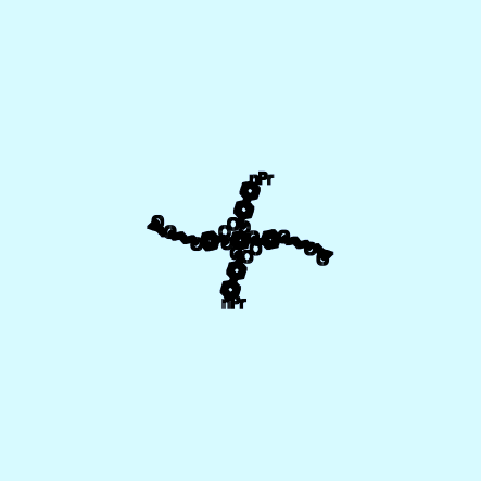 CCCC1CCC(C2CCC(C(=O)Oc3cc(OC(=O)c4ccc(OCCCCOCC5CO5)cc4)c(OC(=O)C4CCC(C5CCC(CCC)CC5)CC4)cc3OC(=O)c3ccc(OCCCCOCC4CO4)cc3)CC2)CC1